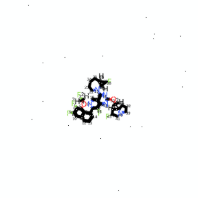 [2H]C([2H])(F)Oc1c(F)c(F)cc2cccc(-c3ncc4c(N5CCCC[C@H]6[C@H](F)[C@H]65)nc(OC([2H])([2H])[C@@]56CCCN5C[C@H](F)C6)nc4c3F)c12